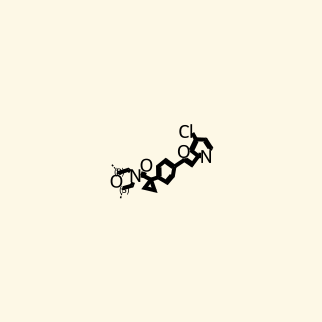 C[C@@H]1CN(C(=O)C2(c3ccc(-c4cc5nccc(Cl)c5o4)cc3)CC2)C[C@H](C)O1